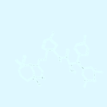 C[C@@H]1CC([C@H](c2ccc(F)cc2)[C@H](N)C(=O)Nc2cc(F)ccc2CCC2CN[C@@H]3CCCS(=O)(=O)N2C3)C[C@H](C)O1